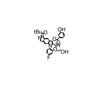 CC(C)c1c(OC(=O)c2cccc(O)c2)c2cc3c(cnn3C(=O)C(C)(C)C)cc2n1-c1ccc(F)cc1OCCO